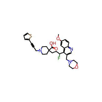 COc1ccc2ncc(CN3CCOCC3)c([C@@H](F)CCC3(C(=O)O)CCN(CC#Cc4cccs4)CC3)c2c1